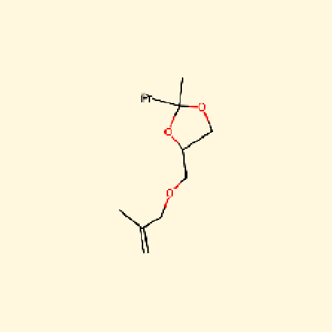 C=C(C)COCC1COC(C)(C(C)C)O1